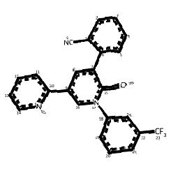 N#Cc1ccccc1-c1cc(-c2ccccn2)cn(-c2cccc(C(F)(F)F)c2)c1=O